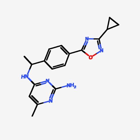 Cc1cc(NC(C)c2ccc(-c3nc(C4CC4)no3)cc2)nc(N)n1